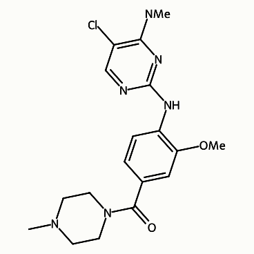 CNc1nc(Nc2ccc(C(=O)N3CCN(C)CC3)cc2OC)ncc1Cl